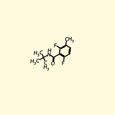 Cc1ccc(F)c(C(=O)NC(C)(C)C)c1F